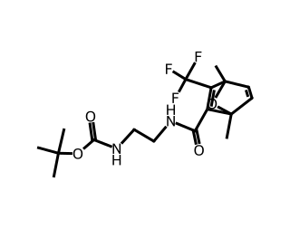 CC(C)(C)OC(=O)NCCNC(=O)C1=C(C(F)(F)F)C2(C)C=CC1(C)O2